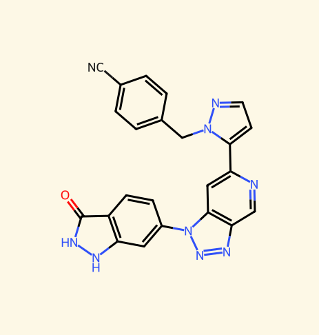 N#Cc1ccc(Cn2nccc2-c2cc3c(cn2)nnn3-c2ccc3c(=O)[nH][nH]c3c2)cc1